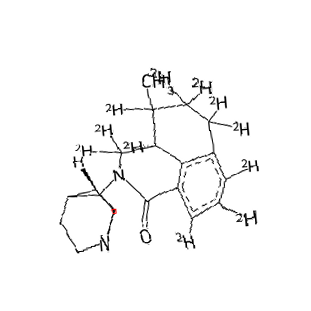 [2H]c1c([2H])c2c3c(c1[2H])C([2H])([2H])C([2H])([2H])C([2H])(C)[C@]3([2H])C([2H])([2H])N([C@@H]1CN3CCC1CC3)C2=O